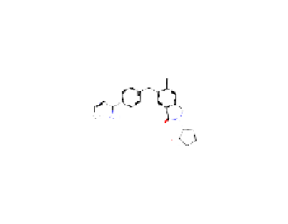 CN/C=C\C(=N)c1ccc(Cc2cc3c(cc2C)CN([C@H]2CCC[C@@H]2O)C3=O)cc1